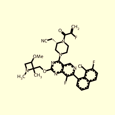 C=C(F)C(=O)N1CCN(c2nc(OCC3(C)C(OC)CN3C)nc3c(F)c(-c4cccc5ccc(F)c(Cl)c45)ncc23)C[C@@H]1CC#N